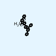 CC1(C)c2cc(-c3ccc4c5cc(-c6ccccc6)ccc5n(-c5ccccc5)c4c3)ccc2-c2c1ccc1c2sc2ccccc21